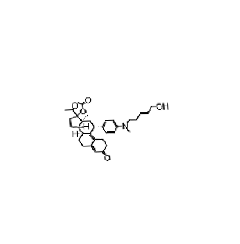 CC(=O)O[C@]1(C(C)=O)CC[C@H]2[C@@H]3CCC4=CC(=O)CCC4=C3[C@@H](c3ccc(N(C)CCCCCO)cc3)C[C@@]21C